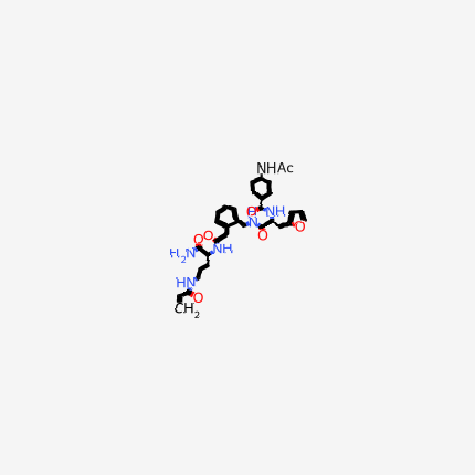 C=CC(=O)NCCC[C@H](NC(=O)Cc1ccccc1CNC(=O)[C@H](Cc1ccco1)NC(=O)[C@H]1CC[C@@H](NC(C)=O)CC1)C(N)=O